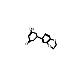 O=C1C=C(O)CC(c2ccc3c(c2)OCCO3)C1